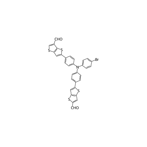 O=Cc1cc2sc(-c3ccc(N(c4ccc(Br)cc4)c4ccc(-c5cc6scc(C=O)c6s5)cc4)cc3)cc2s1